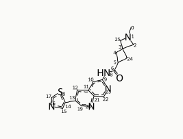 CN1CC2(CC(C(=O)Nc3cc4cc(-c5cncs5)cnc4cn3)C2)C1